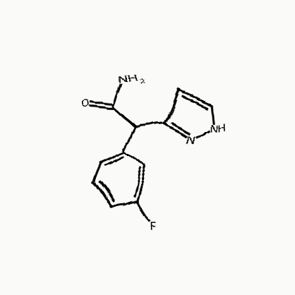 NC(=O)C(c1cccc(F)c1)c1cc[nH]n1